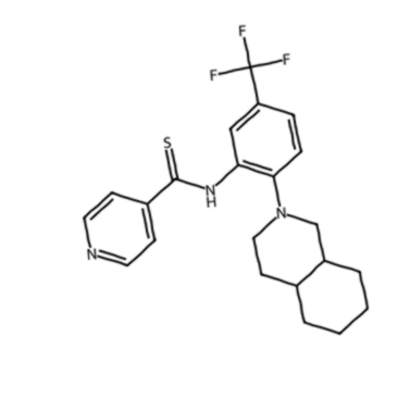 FC(F)(F)c1ccc(N2CCC3CCCCC3C2)c(NC(=S)c2ccncc2)c1